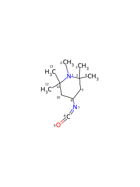 CN1C(C)(C)CC(N=C=O)CC1(C)C